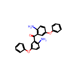 Nc1ccc(Oc2ccccc2)cc1C(=O)c1cc(Oc2ccccc2)ccc1N